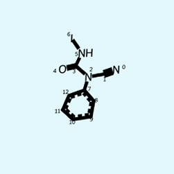 N#CN(C(=O)NI)c1ccccc1